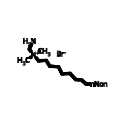 CCCCCCCCCCCCCCCCCC[N+](C)(C)CN.[Br-]